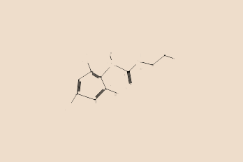 Cc1cc(C)c(N(S)C(=O)NCCO)c(C)c1